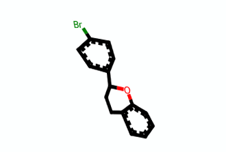 Brc1ccc(C2CCc3ccccc3O2)cc1